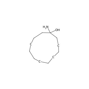 NC1(O)CCCCCCCCCCC1